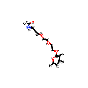 CCC1O[C@H](OCCOCCOCCNC(=O)C(F)(F)F)C(C)[C@@H](C)[C@@H]1C